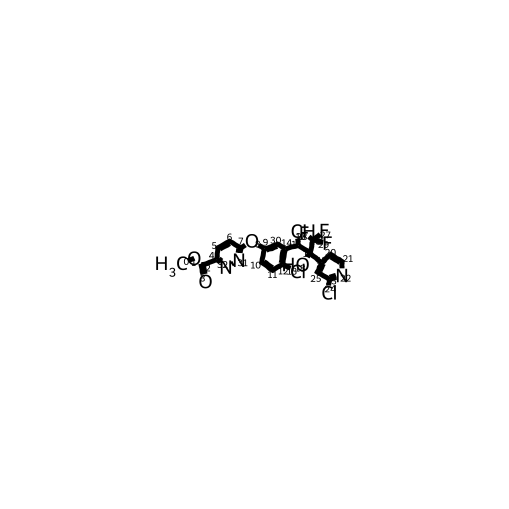 COC(=O)c1ccc(Oc2ccc(Cl)c(C(C)C(O)(c3ccnc(Cl)c3)C(F)(F)F)c2)nn1